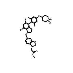 COC(=O)C[C@@H]1COc2cc(O[C@@H]3CCc4c(-c5c(C)cc(OC6CCS(=O)(=O)CC6)cc5C)c(F)cc(F)c43)ccc21